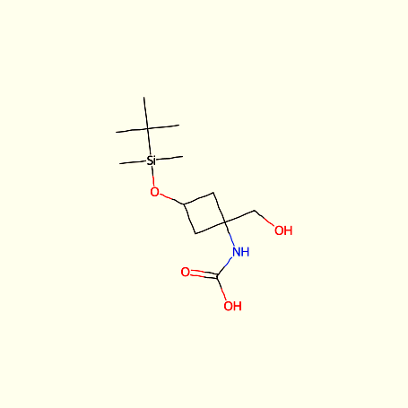 CC(C)(C)[Si](C)(C)OC1CC(CO)(NC(=O)O)C1